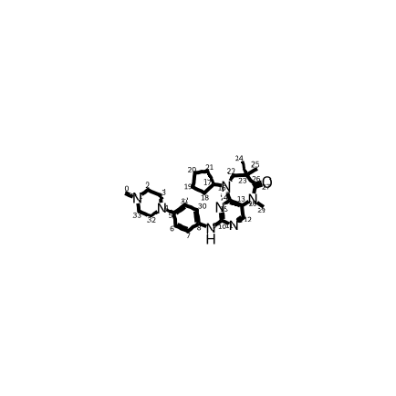 CN1CCN(c2ccc(Nc3ncc4c(n3)N(C3CCCC3)CC(C)(C)C(=O)N4C)cc2)CC1